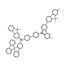 Cc1ccc2c(c1)C(C)(C)c1cc(-c3ccc4c(c3)c3cc(C)ccc3n4-c3ccc(-c4ccc(N(c5ccc6c(c5)C(C)(C)c5ccccc5-6)c5ccc6c(c5)C5(c7ccccc7-c7ccccc75)c5ccccc5-6)cc4)cc3)ccc1-2